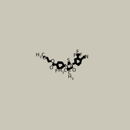 COCCOC(=O)c1ccc(N2C(=S)N(c3ccc(C#N)c(C(F)(F)F)c3)C(=O)C2(C)C)cc1F